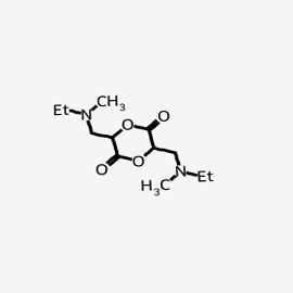 CCN(C)CC1OC(=O)C(CN(C)CC)OC1=O